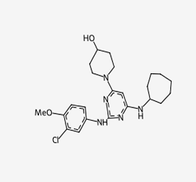 COc1ccc(Nc2nc(NC3CCCCCC3)cc(N3CCC(O)CC3)n2)cc1Cl